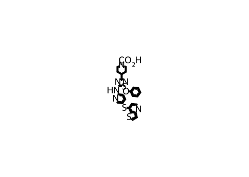 O=C(O)N1CCC(c2nsc(Nc3ncc(Sc4ccnc5ccsc45)cc3Oc3ccccc3)n2)CC1